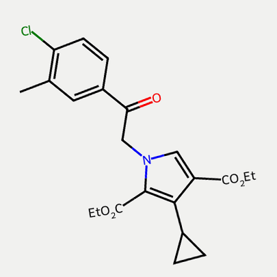 CCOC(=O)c1cn(CC(=O)c2ccc(Cl)c(C)c2)c(C(=O)OCC)c1C1CC1